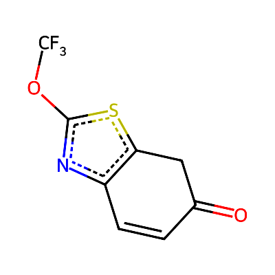 O=C1C=Cc2nc(OC(F)(F)F)sc2C1